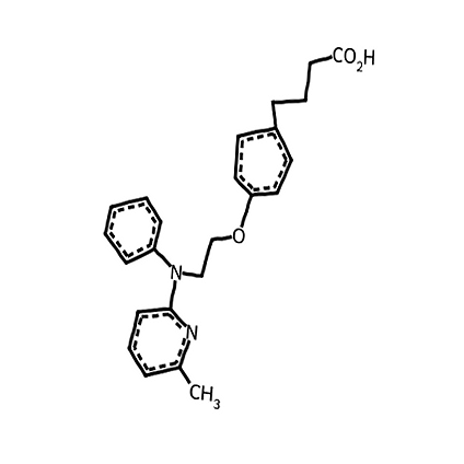 Cc1cccc(N(CCOc2ccc(CCCC(=O)O)cc2)c2ccccc2)n1